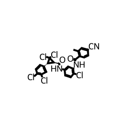 Cc1cc(C#N)ccc1C(=O)Nc1cc(NC(=O)[C@H]2[C@H](c3ccc(Cl)c(Cl)c3)C2(Cl)Cl)ccc1Cl